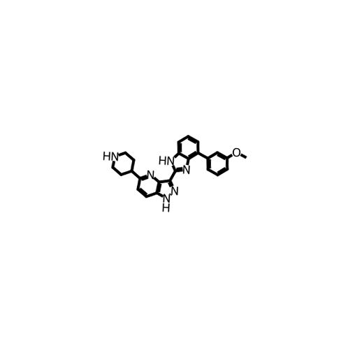 COc1cccc(-c2cccc3[nH]c(-c4n[nH]c5ccc(C6CCNCC6)nc45)nc23)c1